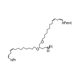 CCC/C=C\C/C=C\CCCCCCCCOC(CCNCC)COCCCCCCCC/C=C\C/C=C\CCCCC